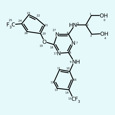 OCC(CO)Nc1nc(Nc2cccc(C(F)(F)F)c2)nc(Oc2cccc(C(F)(F)F)c2)n1